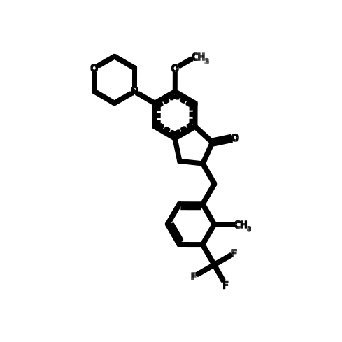 COc1cc2c(cc1N1CCOCC1)CC(CC1=CC=CC(C(F)(F)F)C1C)C2=O